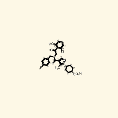 O=C(CN(Cc1ccc(F)cc1)C(=O)c1cnn([C@H]2CC[C@H](C(=O)O)CC2)c1C(F)(F)F)c1c(O)cncc1Cl